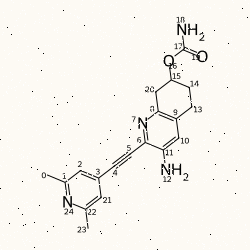 Cc1cc(C#Cc2nc3c(cc2N)CCC(OC(N)=O)C3)cc(C)n1